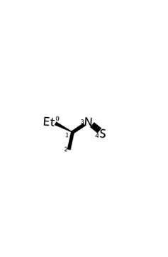 CC[C@H](C)N=S